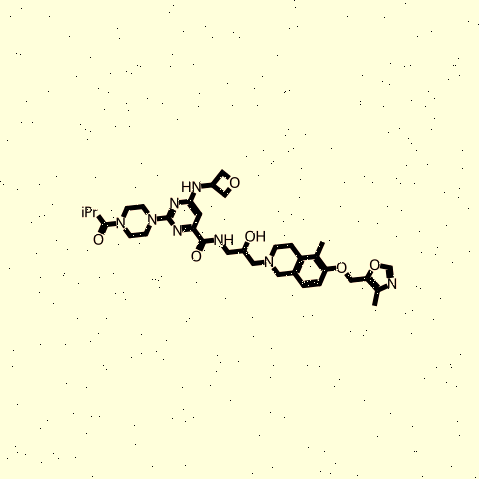 Cc1ncoc1COc1ccc2c(c1C)CCN(CC(O)CNC(=O)c1cc(NC3COC3)nc(N3CCN(C(=O)C(C)C)CC3)n1)C2